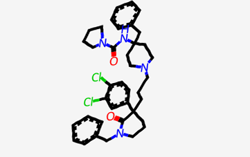 O=C(NC1(Cc2ccccc2)CCN(CCCC2(c3ccc(Cl)c(Cl)c3)CCCN(Cc3ccccc3)C2=O)CC1)N1CCCC1